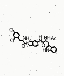 CC(=O)N[C@@H](Cc1c[nH]c2ccccc12)C(=O)Nc1ccc2c(c1)CN(C(=O)[C@H](N)Cc1ccc(Cl)cc1Cl)C2